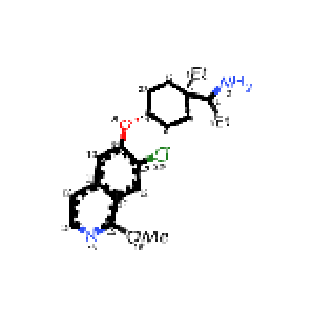 CCC(N)[C@]1(CC)CC[C@H](Oc2cc3ccnc(OC)c3cc2Cl)CC1